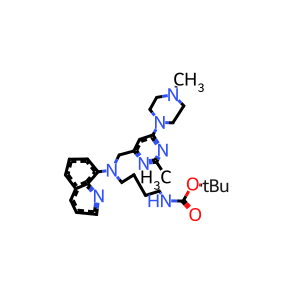 Cc1nc(CN(CCCCNC(=O)OC(C)(C)C)c2cccc3cccnc23)cc(N2CCN(C)CC2)n1